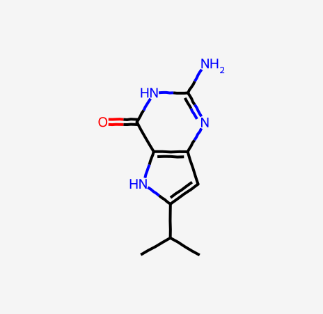 CC(C)c1cc2nc(N)[nH]c(=O)c2[nH]1